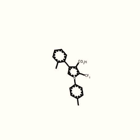 Cc1ccc(-n2cc(-c3ccccc3C)c(C(=O)O)c2C(F)(F)F)cc1